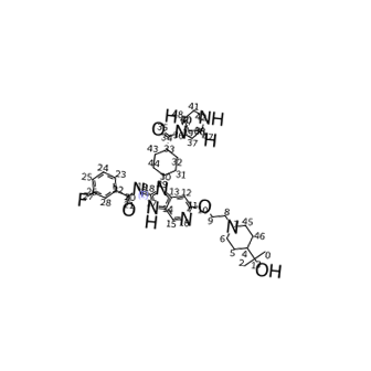 CC(C)(O)C1CCN(CCOc2cc3c(cn2)[nH]/c(=N\C(=O)c2cccc(F)c2)n3[C@H]2CC[C@@H](C(=O)N3C[C@H]4C[C@@H]3CN4)CC2)CC1